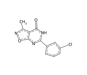 Cc1noc2nc(-c3cccc(Cl)c3)[nH]c(=O)c12